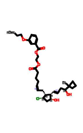 CCCCCCCCCCCCOc1cccc(C(=O)OCCOC(=O)CCC/C=C\C[C@@H]2[C@H](/C=C/C[C@H](O)C3(CC)CCC3)[C@H](O)C[C@@H]2Cl)c1